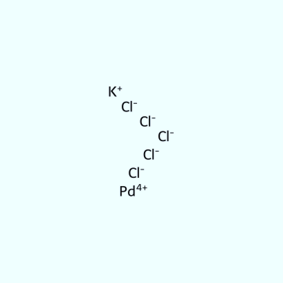 [Cl-].[Cl-].[Cl-].[Cl-].[Cl-].[K+].[Pd+4]